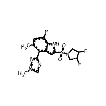 Cc1cc(F)c2[nH]c(S(=O)(=O)N3CC(F)C(F)C3)cc2c1-c1ncn(C)n1